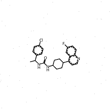 CC(NC(=O)NC1CCC(c2ccnc3ccc(F)cc23)CC1)c1ccc(Cl)cc1